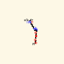 CCCCC(CC)NC(=O)CCCCCn1cc(COCCOCCOCCOC(C)C)nn1